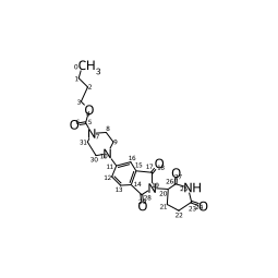 CCCCOC(=O)N1CCN(c2ccc3c(c2)C(=O)N(C2CCC(=O)NC2=O)C3=O)CC1